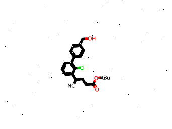 CC(C)(C)OC(=O)CCC(C#N)c1cccc(-c2ccc(CO)cc2)c1Cl